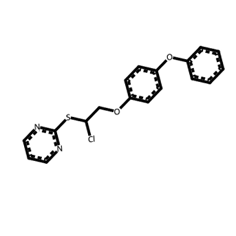 ClC(COc1ccc(Oc2ccccc2)cc1)Sc1ncccn1